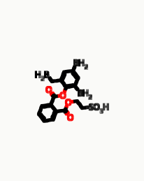 BCc1cc(B)cc(B)c1OC(=O)c1ccccc1C(=O)OCCS(=O)(=O)O